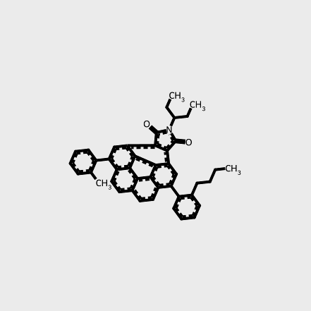 CCCCc1ccccc1-c1cc2c3c(=O)n(C(CC)CC)c(=O)c3c3cc(-c4ccccc4C)c4ccc5ccc1c1c5c4c3c21